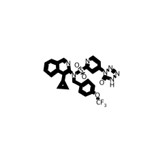 O=c1[nH]nnn1-c1ccnc(S(=O)(=O)N(Cc2ccc(OC(F)(F)F)cc2)c2ncc3ccccc3c2C2CC2)c1